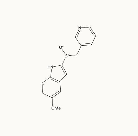 COc1ccc2[nH]c([S+]([O-])Cc3cccnc3)cc2c1